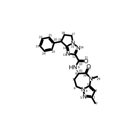 Cc1cc2n(n1)CC[C@H](NC(=O)c1nc3n(n1)CCC3c1ccccc1)C(=O)N2C